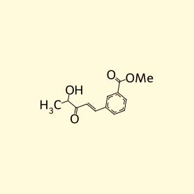 COC(=O)c1cccc(/C=C/C(=O)C(C)O)c1